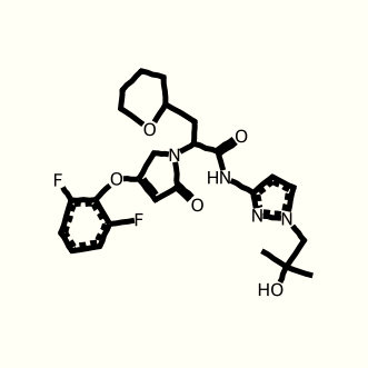 CC(C)(O)Cn1ccc(NC(=O)C(CC2CCCCO2)N2CC(Oc3c(F)cccc3F)=CC2=O)n1